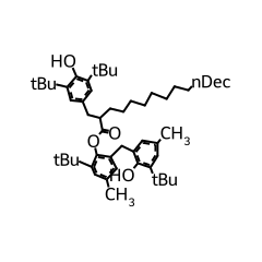 CCCCCCCCCCCCCCCCCCC(Cc1cc(C(C)(C)C)c(O)c(C(C)(C)C)c1)C(=O)Oc1c(Cc2cc(C)cc(C(C)(C)C)c2O)cc(C)cc1C(C)(C)C